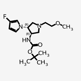 COCCN1C[C@@H](n2ccc(F)c2)[C@H](NC(=O)OC(C)(C)C)C1